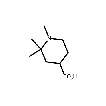 CN1CCC(C(=O)O)CC1(C)C